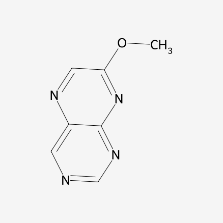 COc1cnc2cncnc2n1